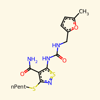 CCCCCSc1nsc(NC(=O)NCc2ccc(C)o2)c1C(N)=O